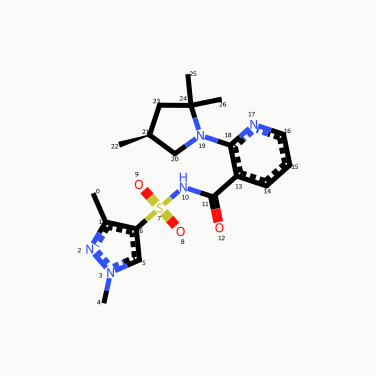 Cc1nn(C)cc1S(=O)(=O)NC(=O)c1cccnc1N1C[C@@H](C)CC1(C)C